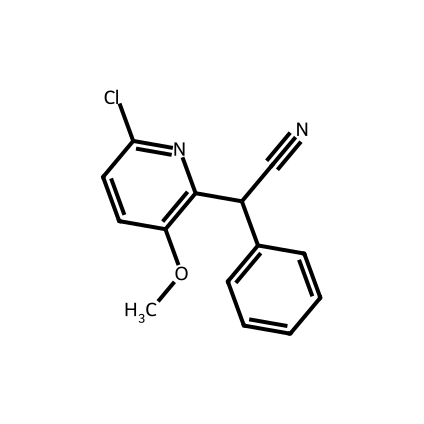 COc1ccc(Cl)nc1C(C#N)c1ccccc1